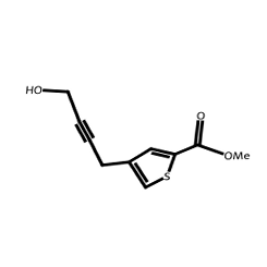 COC(=O)c1cc(CC#CCO)cs1